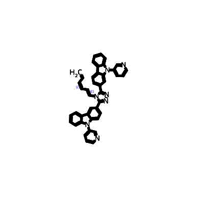 C=C/C=C\C=C\n1c(-c2ccc3c(c2)c2ccccc2n3-c2cccnc2)nnc1-c1ccc2c3ccccc3n(-c3cccnc3)c2c1